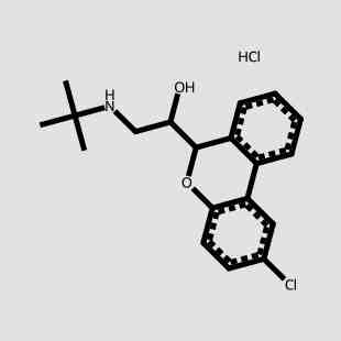 CC(C)(C)NCC(O)C1Oc2ccc(Cl)cc2-c2ccccc21.Cl